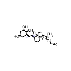 C=C1/C(=C\C=C2/CCC[C@]3(C)[C@@H]([C@H](C)COCC(C)=O)CC[C@@H]23)C[C@@H](O)C[C@@H]1O